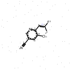 N#Cc1cnc(/C=C(/F)I)c(Cl)c1